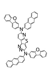 c1ccc2cc3cc(N(c4ccc5c(c4)oc4ccccc45)c4cc5sc6nc(N(c7ccc8cc9ccccc9cc8c7)c7ccc8c(c7)oc7ccccc78)ccc6c5nn4)ccc3cc2c1